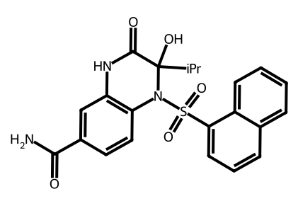 CC(C)C1(O)C(=O)Nc2cc(C(N)=O)ccc2N1S(=O)(=O)c1cccc2ccccc12